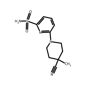 CC1(C#N)CCN(c2cccc(S(N)(=O)=O)n2)CC1